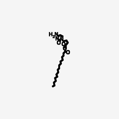 CCCCCCCCCCCCCCCCCC(=O)OC[C@@H]1CC[C@H](n2ccc(N)nc2=O)O1